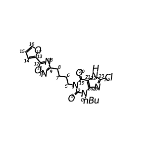 CCCCn1c(=O)n(CCCCc2noc(-c3ccco3)n2)c(=O)c2[nH]c(Cl)nc21